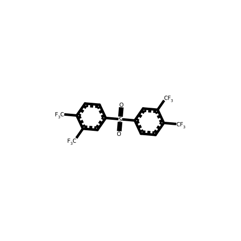 O=S(=O)(c1ccc(C(F)(F)F)c(C(F)(F)F)c1)c1ccc(C(F)(F)F)c(C(F)(F)F)c1